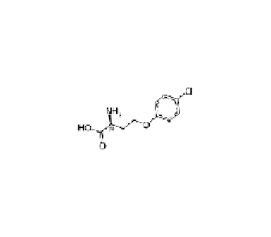 N[C@@H](CCOc1ccc(Cl)cc1)C(=O)O